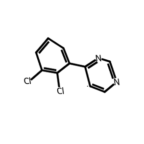 Clc1cccc(-c2[c]cncn2)c1Cl